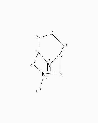 CN1CC2CCCC(C1)N2